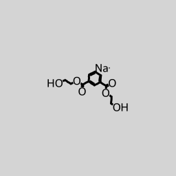 O=C(OCCO)c1cccc(C(=O)OCCO)c1.[Na]